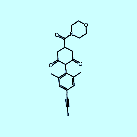 CC#Cc1cc(C)c(C2C(=O)CC(C(=O)N3CCOCC3)CC2=O)c(C)c1